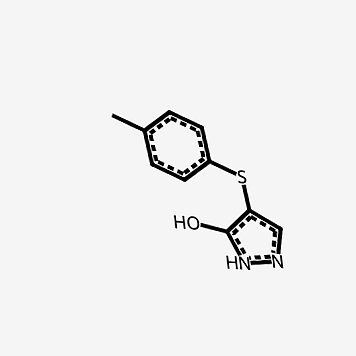 Cc1ccc(Sc2cn[nH]c2O)cc1